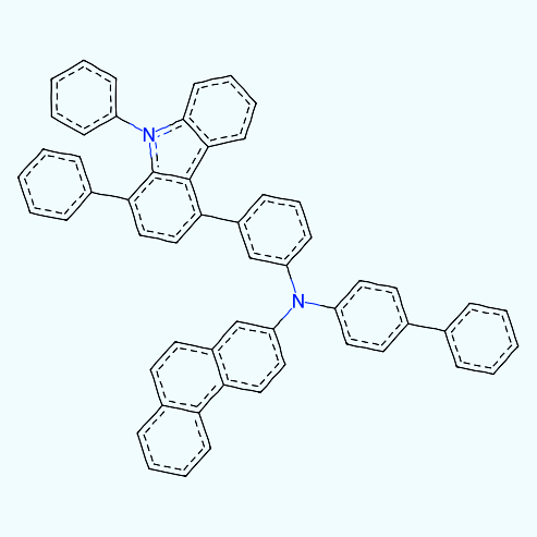 c1ccc(-c2ccc(N(c3cccc(-c4ccc(-c5ccccc5)c5c4c4ccccc4n5-c4ccccc4)c3)c3ccc4c(ccc5ccccc54)c3)cc2)cc1